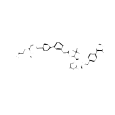 Cc1ncsc1-c1ccc(CNC(=O)[C@@H]2C[C@@H](O)CN2C(=O)C(NC(=O)Cc2cccc(-c3ccc(CO[C@H](C)[C@H](CCC(N)=O)NC=O)cc3)c2)C(C)(C)C)cc1